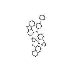 c1ccc(-c2ccc(N(c3ccc4c(c3)C3(c5ccccc5Oc5c3ccc3ccccc53)c3ccccc3-4)c3cccc4oc5ccccc5c34)cc2)cc1